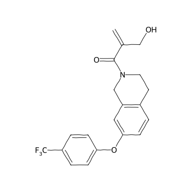 C=C(CO)C(=O)N1CCc2ccc(Oc3ccc(C(F)(F)F)cc3)cc2C1